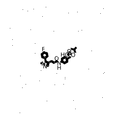 CC1CO[P](O)(Cc2ccc(NC(=O)C=Cc3cnn(C)c3-c3ccc(F)cc3)cc2)OC1